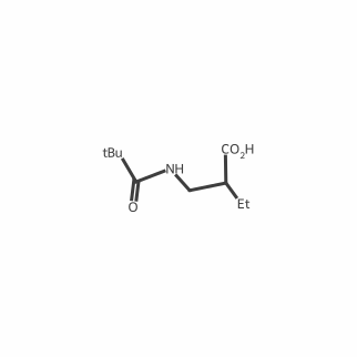 CCC(CNC(=O)C(C)(C)C)C(=O)O